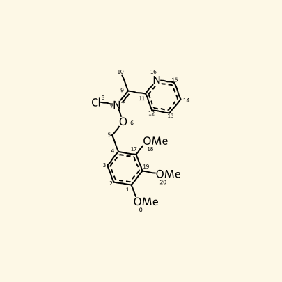 COc1ccc(CO[N+](Cl)=C(C)c2ccccn2)c(OC)c1OC